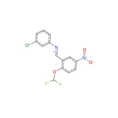 O=[N+]([O-])c1ccc(OC(F)F)c(/C=N/c2cccc(Cl)c2)c1